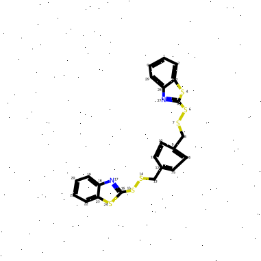 c1ccc2sc(SSCc3ccc(CSSc4nc5ccccc5s4)cc3)nc2c1